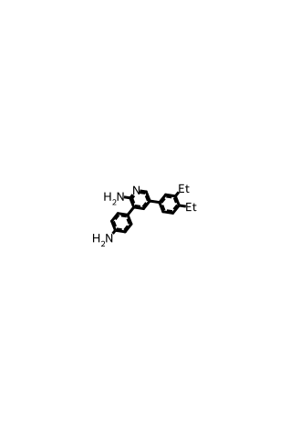 CCc1ccc(-c2cnc(N)c(-c3ccc(N)cc3)c2)cc1CC